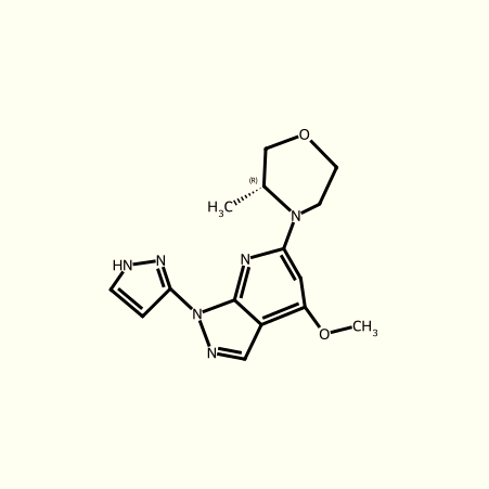 COc1cc(N2CCOC[C@H]2C)nc2c1cnn2-c1cc[nH]n1